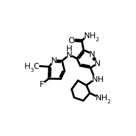 Cc1nc(Nc2cc(NC3CCCCC3N)nnc2C(N)=O)ccc1F